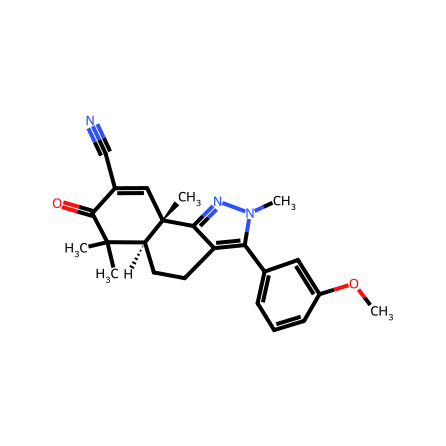 COc1cccc(-c2c3c(nn2C)[C@@]2(C)C=C(C#N)C(=O)C(C)(C)[C@@H]2CC3)c1